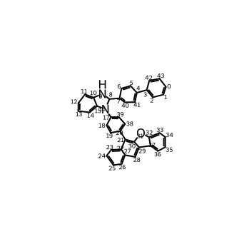 c1ccc(-c2ccc(C3Nc4ccccc4N3c3ccc(-c4c5ccccc5cc5c4oc4ccccc45)cc3)cc2)cc1